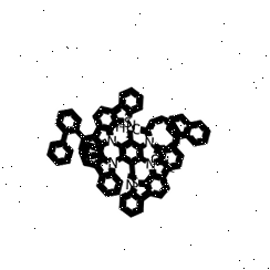 C=c1ccccccc(=C)n1-c1c(C#N)c(-n2c3cccc(-c4ccccc4-c4ccccc4)c3c3ccc4c5ccccc5sc4c32)c(-n2c3ccccc3c3ccccc32)c(C#N)c1-n1c2cc(-c3cccc4ccccc34)ccc2c2ccc3c4ccccc4sc3c21